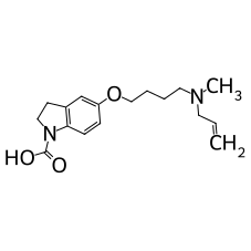 C=CCN(C)CCCCOc1ccc2c(c1)CCN2C(=O)O